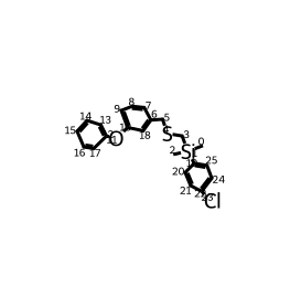 C[Si](C)(CSCc1cccc(Oc2ccccc2)c1)c1ccc(Cl)cc1